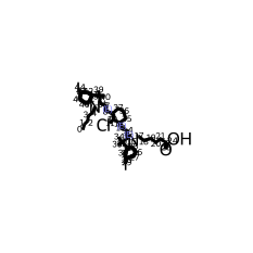 CCCCC[N+]1=C(/C=C/C2=C(Cl)C(=C/C=C3/N(CCCCCC(=O)O)c4ccc(I)cc4C3(C)C)/CCC2)C(C)(C)c2cc(I)ccc21